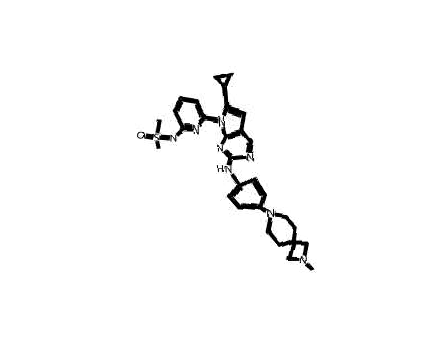 CN1CC2(CCN(c3ccc(Nc4ncc5cc(C6CC6)n(-c6cccc(N=S(C)(C)=O)n6)c5n4)cc3)CC2)C1